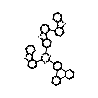 C1=CC2c3ccccc3-c3cc(-c4nc(-c5ccc6c(c5)oc5cccc(-c7cccc8oc9ccccc9c78)c56)nc(-c5cccc6oc7ccccc7c56)n4)ccc3C2C=C1